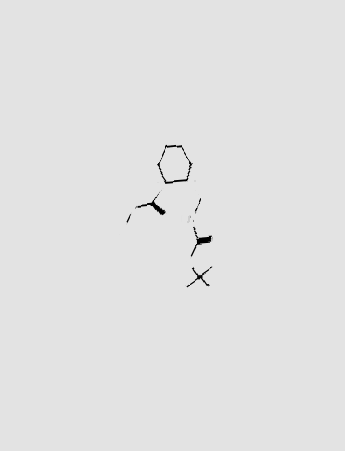 COC(=O)[C@H]1CCCC[C@@H]1CNC(=O)OC(C)(C)C